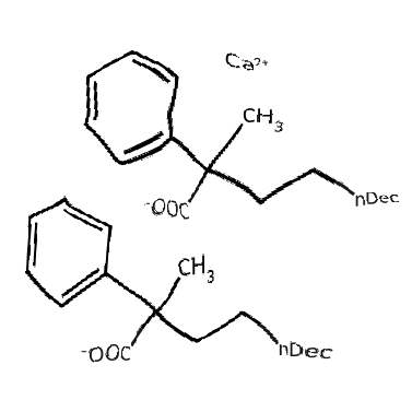 CCCCCCCCCCCCC(C)(C(=O)[O-])c1ccccc1.CCCCCCCCCCCCC(C)(C(=O)[O-])c1ccccc1.[Ca+2]